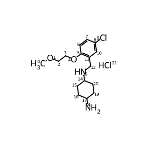 COCCOc1ccc(Cl)cc1CNC1CCC(N)CC1.Cl